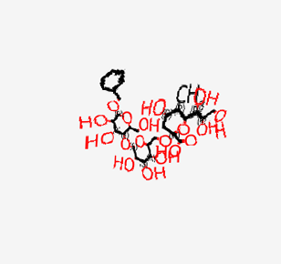 C[C@H]1C([C@H](O)[C@H](O)CO)O[C@@](OCC2O[C@@H](O[C@@H]3C(CO)O[C@@H](OCc4ccccc4)C(O)[C@H]3O)C(O)[C@@H](O)[C@H]2O)(C(=O)O)C[C@H]1O